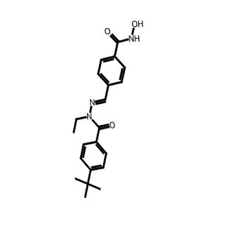 CCN(N=Cc1ccc(C(=O)NO)cc1)C(=O)c1ccc(C(C)(C)C)cc1